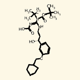 CC(C)(C)OC(=O)N(C(=NC(=O)O)NCC[C@@H](O)c1cccc(OCC2CCCCC2)c1)C(C)(C)C